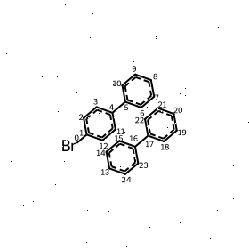 Brc1ccc(-c2ccccc2)cc1.c1ccc(-c2ccccc2)cc1